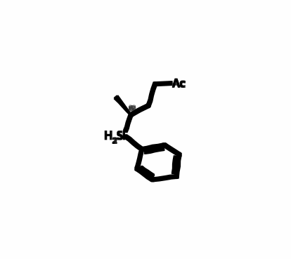 [CH2]C(=O)CC[C@H](C)[SiH2]c1ccccc1